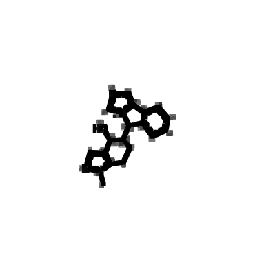 Cn1ncc2c1CC[C@H]([C@@H]1c3ccccc3-c3cncn31)[C@@H]2O